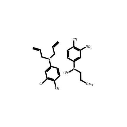 C=CCN(CC=C)c1ccc(C#N)c(Cl)c1.CCCN(CCOC)c1ccc(C#N)c([N+](=O)[O-])c1